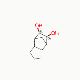 O[C@@H]1C2CC(C3CCCC32)[C@@H]1O